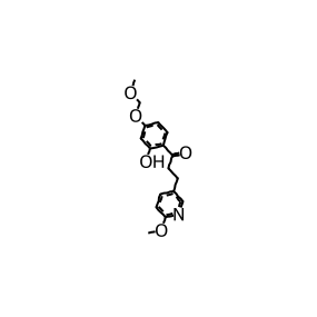 COCOc1ccc(C(=O)CCc2ccc(OC)nc2)c(O)c1